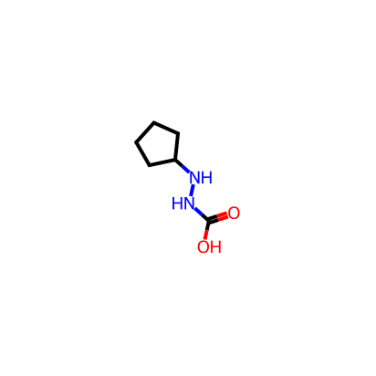 O=C(O)NNC1CCCC1